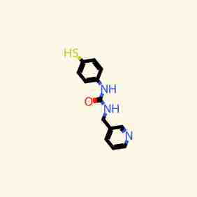 O=C(NCc1cccnc1)Nc1ccc(S)cc1